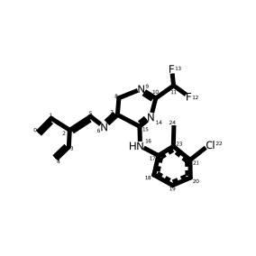 C=CC(C=C)=C/N=C1\CN=C(C(F)F)N=C1Nc1cccc(Cl)c1C